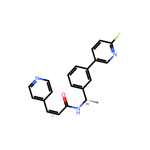 C[C@H](NC(=O)/C=C\c1ccncc1)c1cccc(-c2ccc(F)nc2)c1